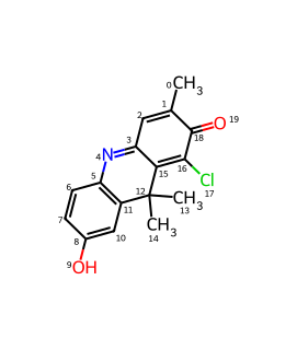 CC1=CC2=Nc3ccc(O)cc3C(C)(C)C2=C(Cl)C1=O